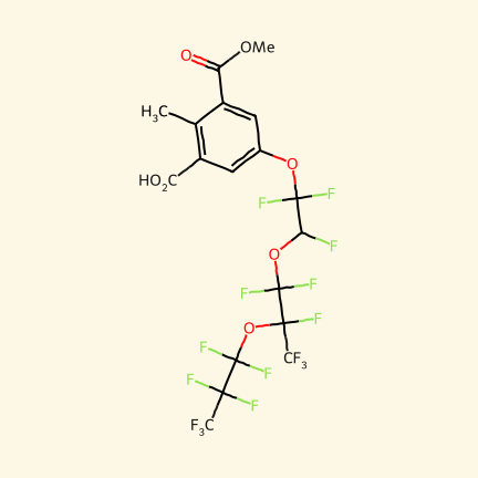 COC(=O)c1cc(OC(F)(F)C(F)OC(F)(F)C(F)(OC(F)(F)C(F)(F)C(F)(F)F)C(F)(F)F)cc(C(=O)O)c1C